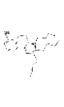 CCCCc1ccc(CC(C)c2ccccc2O)c(CCCC)c1CCCC